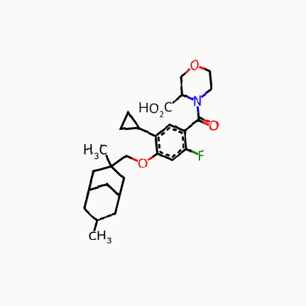 CC1CC2CC(C1)CC(C)(COc1cc(F)c(C(=O)N3CCOCC3C(=O)O)cc1C1CC1)C2